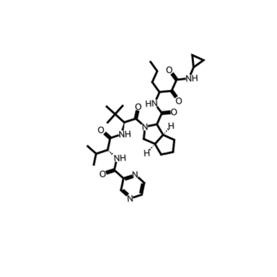 CCCC(NC(=O)C1[C@H]2CCC[C@H]2CN1C(=O)[C@@H](NC(=O)[C@H](NC(=O)c1cnccn1)C(C)C)C(C)(C)C)C(=O)C(=O)NC1CC1